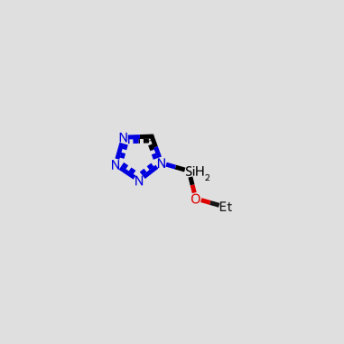 CCO[SiH2]n1cnnn1